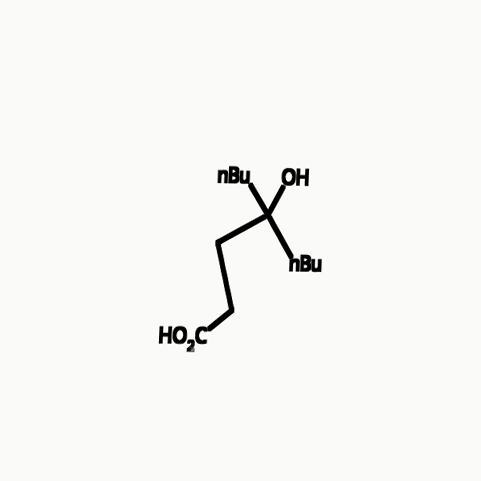 CCCCC(O)(CCCC)CCC(=O)O